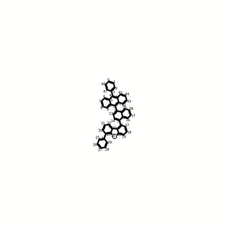 c1ccc(-c2c3ccccc3c(-c3ccc(-c4cccc5oc6c(-c7ccccc7)cccc6c45)c4ccccc34)c3ccccc23)cc1